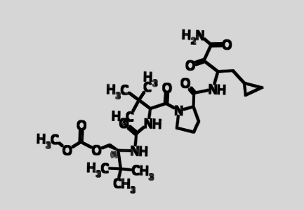 COC(=O)OC[C@@H](NC(=O)NC(C(=O)N1CCCC1C(=O)NC(CC1CC1)C(=O)C(N)=O)C(C)(C)C)C(C)(C)C